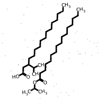 CCCCCCCCCCCCCC(CC(=O)O)C(C)C.CCCCCCCCCCCCCCCC(=O)OC(C)C